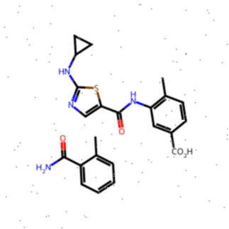 Cc1ccc(C(=O)O)cc1NC(=O)c1cnc(NC2CC2)s1.Cc1ccccc1C(N)=O